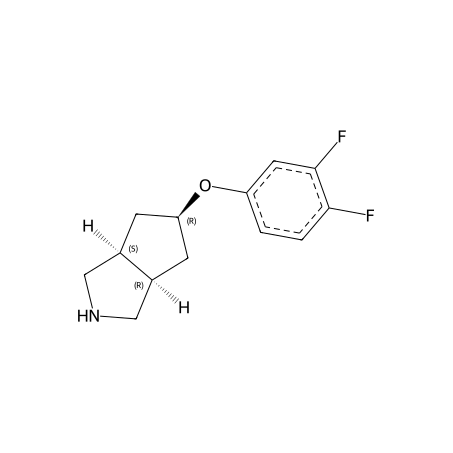 Fc1ccc(O[C@H]2C[C@H]3CNC[C@H]3C2)cc1F